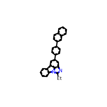 CCc1nc2cc(-c3ccc(-c4ccc5ccccc5c4)cc3)cc3c4ccccc4n1c23